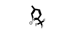 Cc1ccc(C(F)(F)F)[n+]([O-])c1